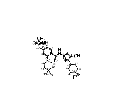 Cc1cc(NC(=O)c2ccc(CS(C)(=N)=O)cc2N2CCC3(CC2)CC3)nn1C1CCC(F)(F)CC1